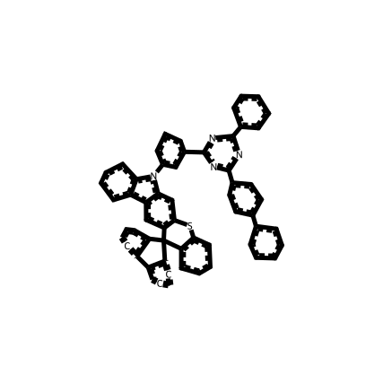 c1ccc(-c2ccc(-c3nc(-c4ccccc4)nc(-c4cccc(-n5c6ccccc6c6cc7c(cc65)Sc5ccccc5C75c6ccccc6-c6ccccc65)c4)n3)cc2)cc1